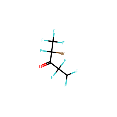 O=C(C(F)(F)C(F)F)C(F)(Br)C(F)(F)F